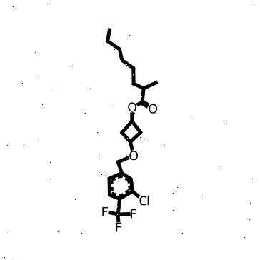 CCCCCCC(C)C(=O)OC1CC(OCc2ccc(C(F)(F)F)c(Cl)c2)C1